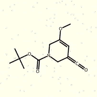 COC1=CC(=C=O)CN(C(=O)OC(C)(C)C)C1